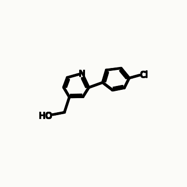 OCc1ccnc(-c2ccc(Cl)cc2)c1